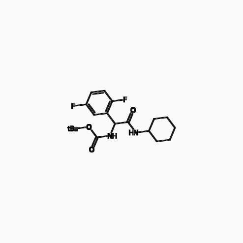 CC(C)(C)OC(=O)NC(C(=O)NC1CCCCC1)c1cc(F)ccc1F